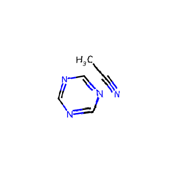 CC#N.c1ncncn1